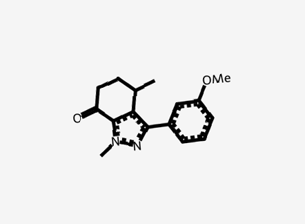 COc1cccc(-c2nn(C)c3c2C(C)CCC3=O)c1